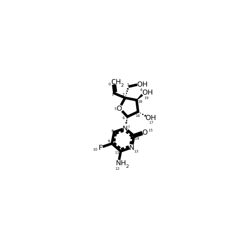 C=C[C@]1(CO)O[C@@H](n2cc(F)c(N)nc2=O)[C@@H](O)[C@@H]1O